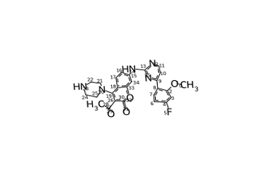 COc1cc(F)ccc1-c1ccnc(Nc2ccc3c(N4CCNCC4)c(C(C)=O)c(=O)oc3c2)n1